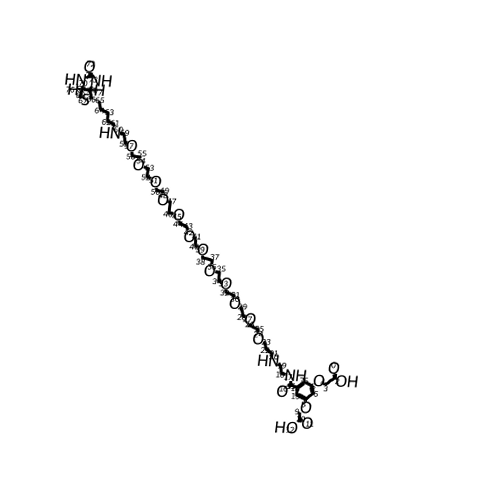 O=C(O)COc1cc(OCC(=O)O)cc(C(=O)NCCNCCCOCCOCCOCCOCCOCCOCCOCCOCCOCCOCCOCCOCCNCCCCC[C@@H]2SC[C@@H]3NC(=O)N[C@@H]32)c1